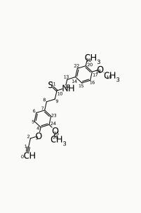 C#CCOc1ccc(CCC(=S)NCc2ccc(OC)c(C)c2)cc1OC